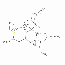 C#CCC12C[C@]34CCC(C)CC(CC)C35C=C5C(CC(=C)SCC)C(=C(C)CC1C)C24C